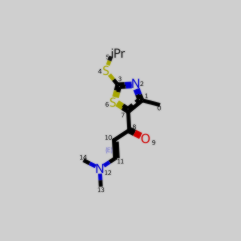 Cc1nc(SC(C)C)sc1C(=O)/C=C/N(C)C